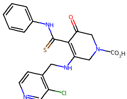 O=C1CN(C(=O)O)CC(NCc2ccncc2Cl)=C1C(=S)Nc1ccccc1